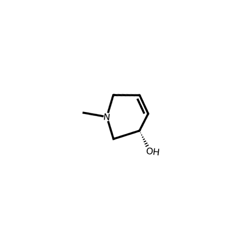 CN1CC=C[C@H](O)C1